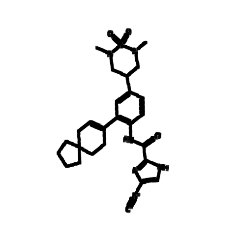 [C-]#[N+]c1c[nH]c(C(=O)Nc2ccc(C3CN(C)S(=O)(=O)N(C)C3)cc2C2=CCC3(CCCC3)CC2)n1